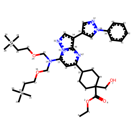 CCOC(=O)C1(CO)CCC(c2cc(N(COCC[Si](C)(C)C)COCC[Si](C)(C)C)n3ncc(-c4cnn(-c5ccccc5)c4)c3n2)CC1